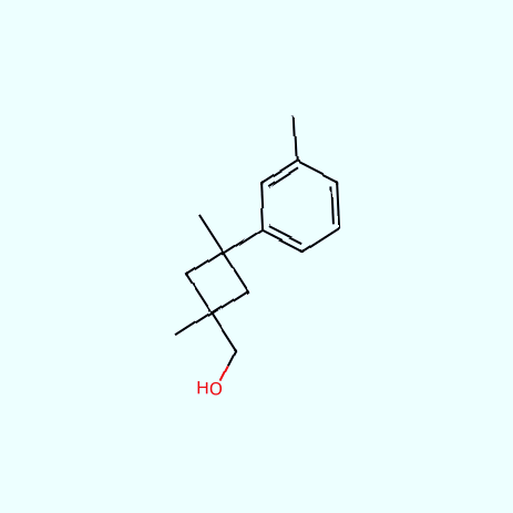 Cc1cccc(C2(C)CC(C)(CO)C2)c1